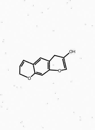 OC1=COc2cc3c(cc2C1)C=CCO3